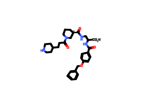 O=C(NC(CNC(=O)[C@@H]1CCCN(C(=O)CCC2CCNCC2)C1)C(=O)O)c1ccc(OCc2ccccc2)cc1